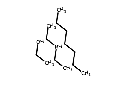 CCCCCCC.CCNCC.CCO